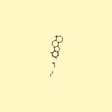 COCCOCC(=O)Oc1cc(C)c2c(c1)C[C@@H]1[C@@]3(C)CCCC(C)(C)[C@@H]3CC[C@@]21C